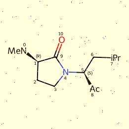 CN[C@@H]1CCN([C@@H](CC(C)C)C(C)=O)C1=O